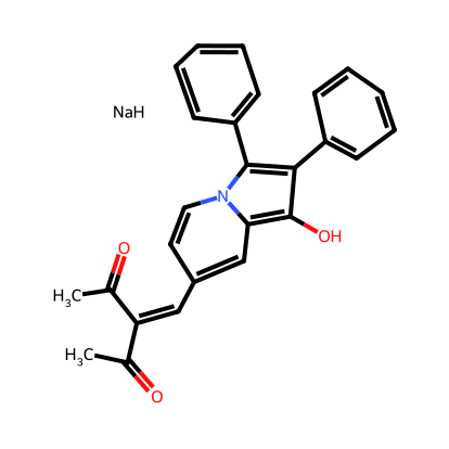 CC(=O)C(=Cc1ccn2c(-c3ccccc3)c(-c3ccccc3)c(O)c2c1)C(C)=O.[NaH]